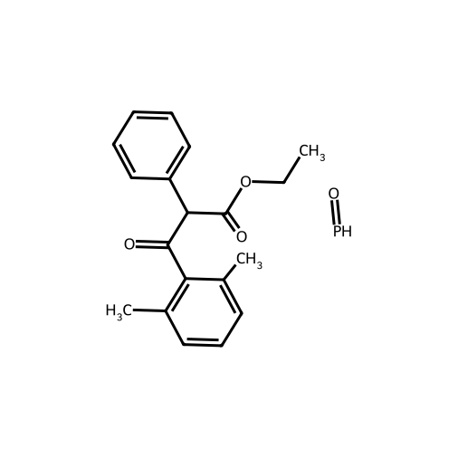 CCOC(=O)C(C(=O)c1c(C)cccc1C)c1ccccc1.O=P